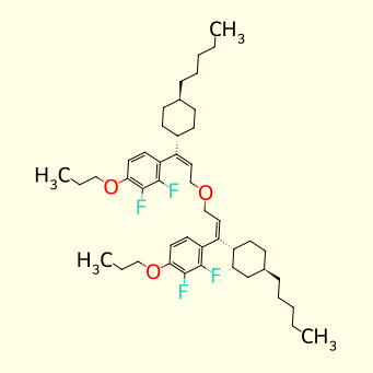 CCCCC[C@H]1CC[C@H](C(=CCOCC=C(c2ccc(OCCC)c(F)c2F)[C@H]2CC[C@H](CCCCC)CC2)c2ccc(OCCC)c(F)c2F)CC1